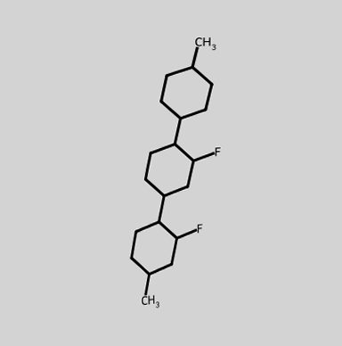 CC1CCC(C2CCC(C3CCC(C)CC3F)CC2F)CC1